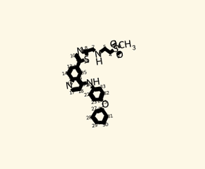 CS(=O)(=O)CCNCc1ncc(-c2ccc3nccc(Nc4ccc(Oc5ccccc5)cc4)c3c2)s1